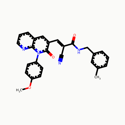 COc1ccc(-n2c(=O)c(C=C(C#N)C(=O)NCc3cccc(C)c3)cc3cccnc32)cc1